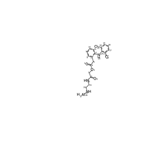 O=C(COC(=O)Cc1ccccc1Nc1c(Cl)cccc1Cl)NCC[NH][AlH2]